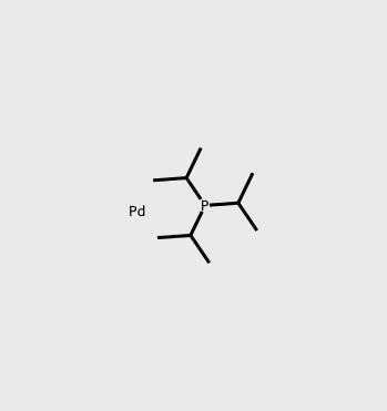 CC(C)P(C(C)C)C(C)C.[Pd]